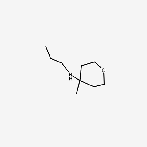 CCCNC1(C)CCOCC1